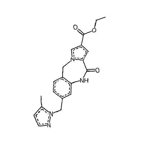 CCOC(=O)c1cc2n(c1)Cc1ccc(Cn3nccc3C)cc1NC2=O